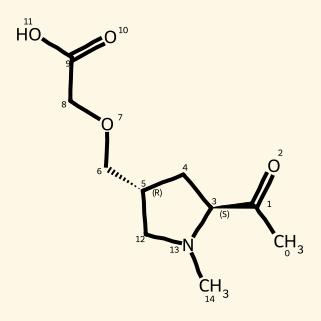 CC(=O)[C@@H]1C[C@@H](COCC(=O)O)CN1C